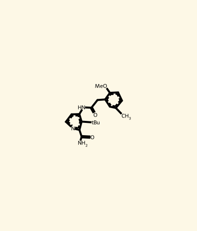 COc1ccc(C)cc1CC(=O)Nc1ccnc(C(N)=O)c1C(C)(C)C